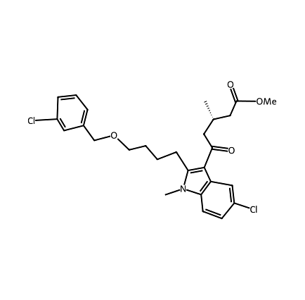 COC(=O)C[C@@H](C)CC(=O)c1c(CCCCOCc2cccc(Cl)c2)n(C)c2ccc(Cl)cc12